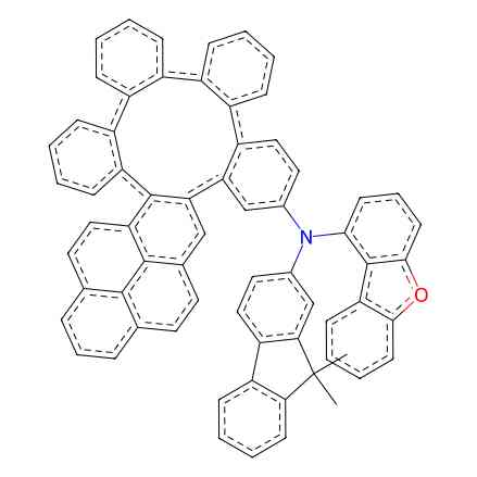 CC1(C)c2ccccc2-c2ccc(N(c3ccc4c5ccccc5c5ccccc5c5ccccc5c5c(cc6ccc7cccc8ccc5c6c78)c4c3)c3cccc4oc5ccccc5c34)cc21